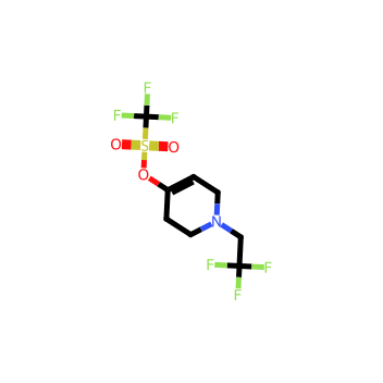 O=S(=O)(OC1=CCN(CC(F)(F)F)CC1)C(F)(F)F